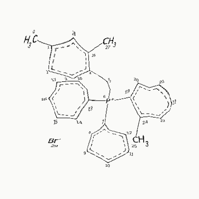 Cc1ccc(C[P+](c2ccccc2)(c2ccccc2)c2ccccc2C)c(C)c1.[Br-]